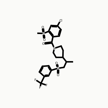 CC(CS(=O)(=O)c1cccc(C(F)(F)F)c1)C1CCN(C(=O)c2ccc(Cl)cc2S(C)(=O)=O)CC1